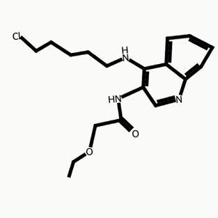 CCOCC(=O)Nc1cnc2ccccc2c1NCCCCCCl